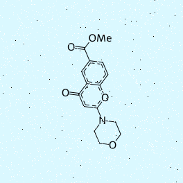 COC(=O)c1ccc2oc(N3CCOCC3)cc(=O)c2c1